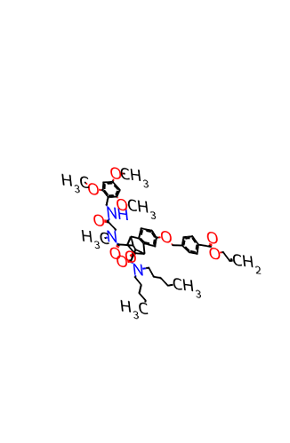 C=CCOC(=O)c1ccc(COc2ccc3c(c2)C2C(=O)CC3C(C(=O)N(C)CC(=O)NCc3c(OC)cc(OC)cc3OC)C2C(=O)N(CCCCC)CCCCC)cc1